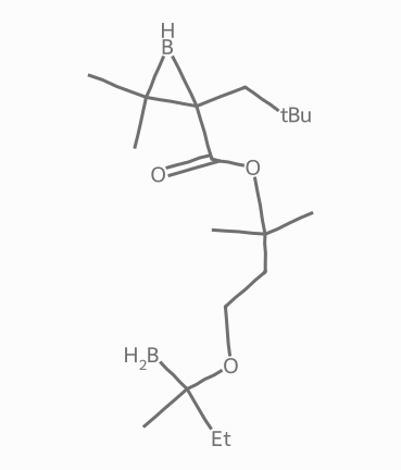 BC(C)(CC)OCCC(C)(C)OC(=O)C1(CC(C)(C)C)BC1(C)C